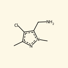 Cc1nn(C)c(CN)c1Cl